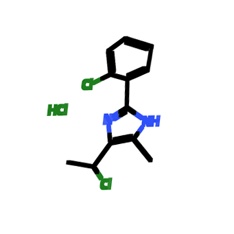 Cc1[nH]c(-c2ccccc2Cl)nc1C(C)Cl.Cl